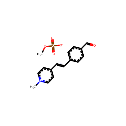 COS(=O)(=O)[O-].C[n+]1ccc(/C=C/c2ccc(C=O)cc2)cc1